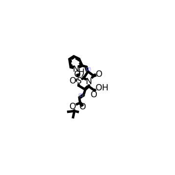 CC(C)(C)OC(=O)/C=C/C1=C(C(=O)O)N2C(=O)/C(=C/c3ccccn3)[C@@H]2S(=O)(=O)C1